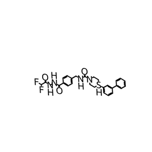 O=C(NNC(=O)C(F)F)c1ccc(CNC(=O)N2CC[SH](c3cccc(-c4ccccc4)c3)CC2)cc1